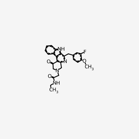 CCNC(=O)CN1CC(=O)c2c(nc(Cc3ccc(OC)c(F)c3)c3[nH]c4ccccc4c23)C1